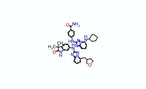 CC1(C)C(=O)Nc2cc(Nc3nc4cccc(CC5CCOC5)n4n3)ccc21.NC(=O)c1ccc(Nc2nc3cccc(NC4CCCCC4)n3n2)cc1